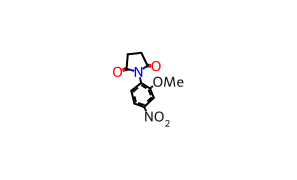 COc1cc([N+](=O)[O-])ccc1N1C(=O)CCC1=O